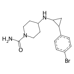 NC(=O)N1CCC(NC2CC2c2ccc(Br)cc2)CC1